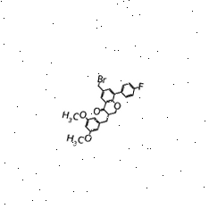 COc1cc(CC2COc3c(cc(CBr)cc3-c3ccc(F)cc3)C2=O)cc(OC)c1